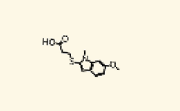 COc1ccc2cc(SCCC(=O)O)n(C)c2c1